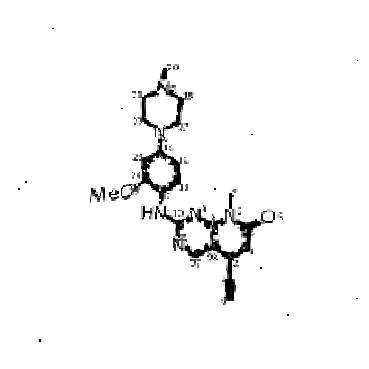 C#Cc1cc(=O)n(C)c2nc(Nc3ccc(N4CCN(C)CC4)cc3OC)ncc12